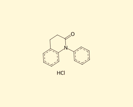 Cl.O=C1CCc2ccccc2N1c1ccccc1